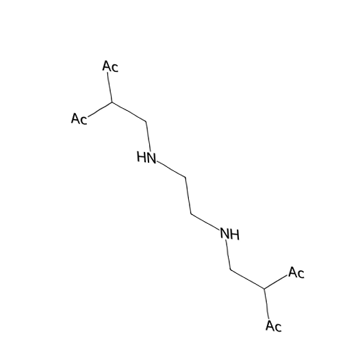 CC(=O)C(CNCCNCC(C(C)=O)C(C)=O)C(C)=O